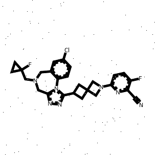 N#Cc1nc(N2CC3(CC(c4nnc5n4-c4ccc(Cl)cc4CN(CC4(F)CC4)C5)C3)C2)ccc1F